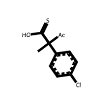 CC(=O)C(C)(C(O)=S)c1ccc(Cl)cc1